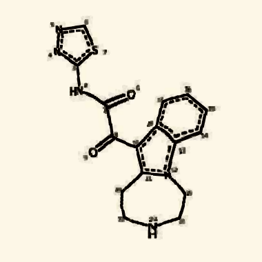 O=C(Nc1nncs1)C(=O)c1c2n(c3ccccc13)CCNCC2